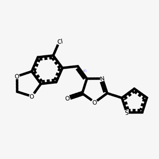 O=C1OC(c2cccs2)=N/C1=C/c1cc2c(cc1Cl)OCO2